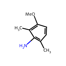 COc1ccc(C)c(N)c1C